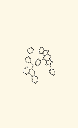 c1ccc(-c2cccc(N(c3ccc(-c4c5oc(-c6ccccc6)nc5cc5oc6ccccc6c45)cc3)c3cc4ccccc4c4ccccc34)c2)cc1